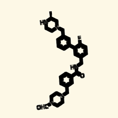 C[C@H]1CN(Cc2cccc(-c3cc(CNC(=O)c4cccc(CN5CCN(C=O)CC5)c4)ccc3F)c2)CCN1